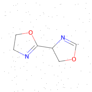 [C]1=NC(C2=NCCO2)CO1